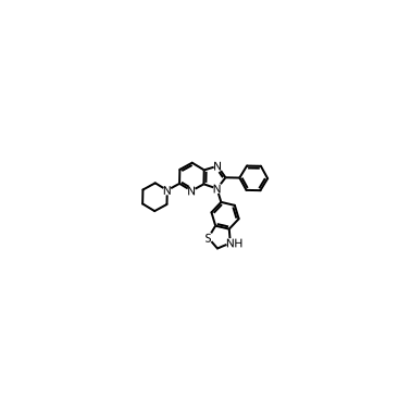 c1ccc(-c2nc3ccc(N4CCCCC4)nc3n2-c2ccc3c(c2)SCN3)cc1